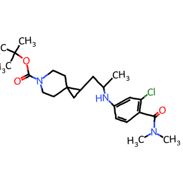 CC(CC1CC12CCN(C(=O)OC(C)(C)C)CC2)Nc1ccc(C(=O)N(C)C)c(Cl)c1